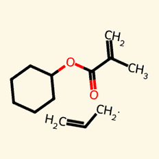 C=C(C)C(=O)OC1CCCCC1.[CH2]C=C